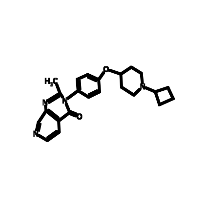 Cc1nc2cnccc2c(=O)n1-c1ccc(OC2CCN(C3CCC3)CC2)cc1